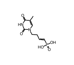 Cc1cn(CCC=CP(=O)(O)O)c(=O)[nH]c1=O